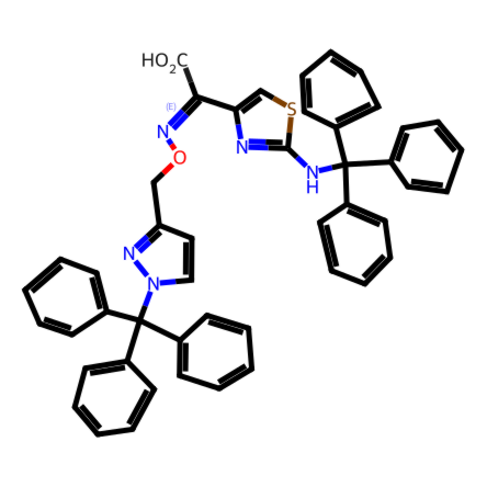 O=C(O)/C(=N/OCc1ccn(C(c2ccccc2)(c2ccccc2)c2ccccc2)n1)c1csc(NC(c2ccccc2)(c2ccccc2)c2ccccc2)n1